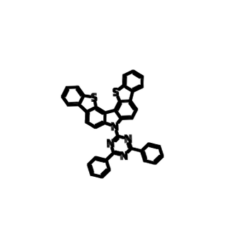 c1ccc(-c2nc(-c3ccccc3)nc(-n3c4ccc5c6ccccc6sc5c4c4c5sc6ccccc6c5ccc43)n2)cc1